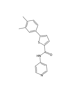 Cc1ccc(-c2ccc(C(=O)Nc3ccncc3)s2)cc1C